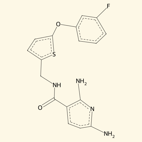 Nc1ccc(C(=O)NCc2ccc(Oc3cccc(F)c3)s2)c(N)n1